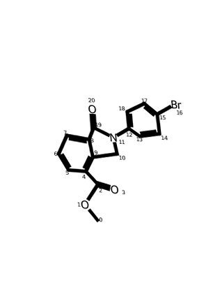 COC(=O)c1cccc2c1CN(c1ccc(Br)cc1)C2=O